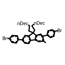 CCCCCCCCCCCCC1(CCCCCCCCCCCC)c2cc(-c3ccc(Br)cc3)ccc2-c2cc(C)c(-c3ccc(Br)cc3)cc21